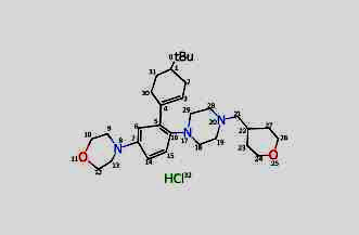 CC(C)(C)C1CC=C(c2cc(N3CCOCC3)ccc2N2CCN(CC3CCOCC3)CC2)CC1.Cl